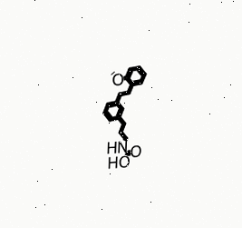 COc1ccccc1CCc1cccc(CCCNC(=O)O)c1